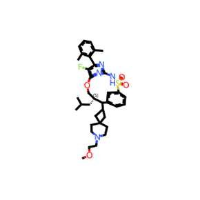 COCCN1CCC2(CC1)CC(C1c3cccc(c3)S(=O)(=O)Nc3nc(c(F)c(-c4c(C)cccc4C)n3)OC[C@H]1CC(C)C)C2